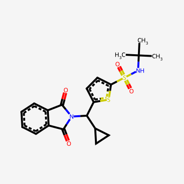 CC(C)(C)NS(=O)(=O)c1ccc(C(C2CC2)N2C(=O)c3ccccc3C2=O)s1